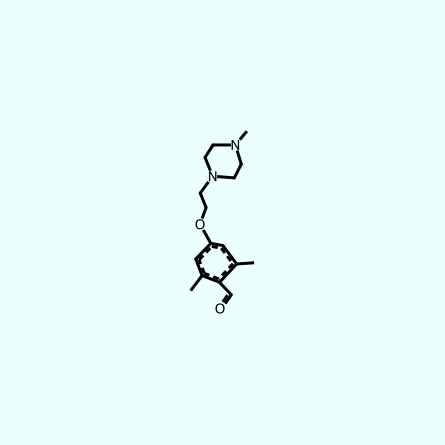 Cc1cc(OCCN2CCN(C)CC2)cc(C)c1C=O